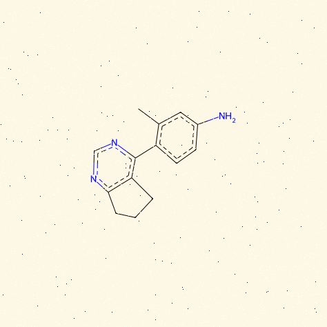 Cc1cc(N)ccc1-c1ncnc2c1CCC2